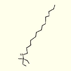 CCCCCCCCCCCCCCNC(C)(CC)CC